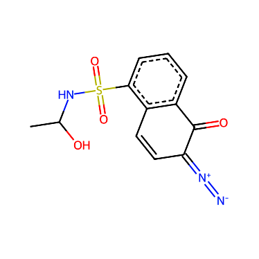 CC(O)NS(=O)(=O)c1cccc2c1C=CC(=[N+]=[N-])C2=O